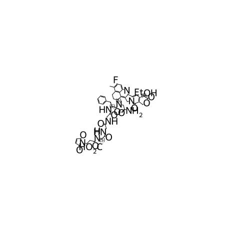 CC[C@@]1(O)C(=O)OCc2c1cc1n(c2=O)Cc2c-1nc1cc(F)c(C)c3c1c2[C@@H](N(CC(N)=O)C(=O)[C@H](Cc1ccccc1)NC(=O)CNC(=O)CNC(=O)[C@H](CC(=O)O)NC(=O)CCN1C(=O)C=CC1=O)CC3